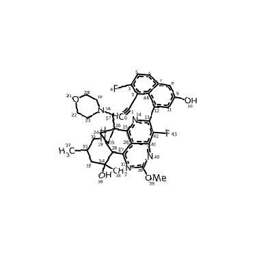 C#Cc1c(F)ccc2cc(O)cc(-c3nc(C4(CN5CCOCC5)CC4)c4c(C5NCC(C)CC5(C)O)nc(OC)nc4c3F)c12